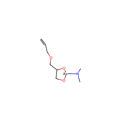 C=CCOCC1CO[As](N(C)C)O1